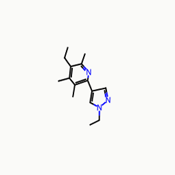 CCc1c(C)nc(-c2cnn(CC)c2)c(C)c1C